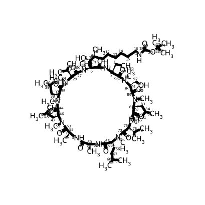 CC[C@@H]1NC(=O)[C@H]([C@H](O)[C@H](C)CCCCCCNC(=O)OC(C)(C)C)N(C)C(=O)[C@H](C(C)C)N(C)C(=O)[C@H](CC(C)C)N(C)C(=O)[C@H](CC(C)C)N(C)C(=O)[C@H](C)NC(=O)[C@@H](C)NC(=O)[C@@H](CCC(C)C)N(C)C(=O)[C@@H](C(C)C)NC(=O)[C@H](CC(C)C)N(C)C(=O)[C@@H](CO)N(C)C1=O